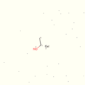 CCO.[Ge]